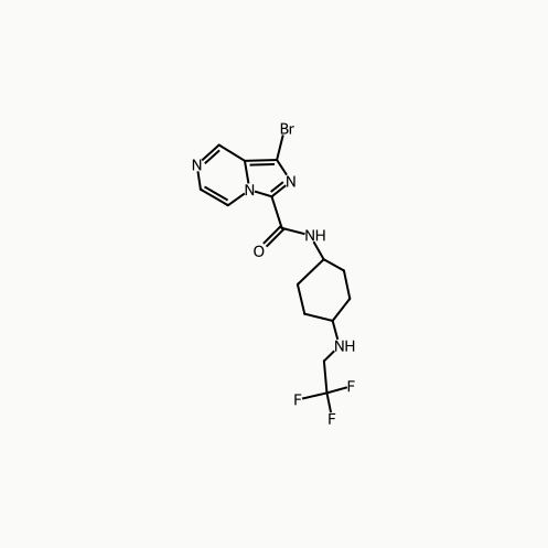 O=C(NC1CCC(NCC(F)(F)F)CC1)c1nc(Br)c2cnccn12